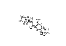 COc1cc(NC(C)=O)c(Cl)cc1C(=O)NC1CC2CCC(C1)N2